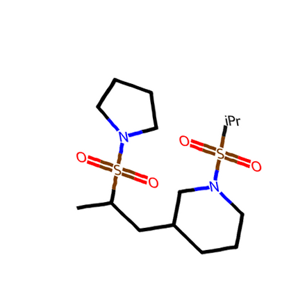 CC(C)S(=O)(=O)N1CCCC(CC(C)S(=O)(=O)N2CCCC2)C1